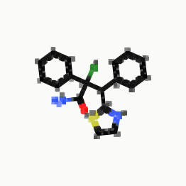 NC(=O)C(Cl)(c1ccccc1)C(c1ccccc1)c1nccs1